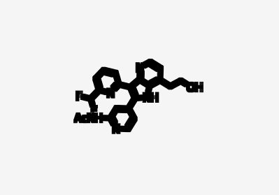 CC(=O)Nc1cc(-c2[nH]c3c(CCO)ccnc3c2-c2cccc(C(F)F)n2)ccn1